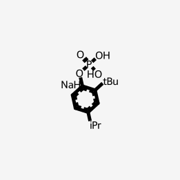 CC(C)c1ccc(OP(=O)(O)O)c(C(C)(C)C)c1.[NaH]